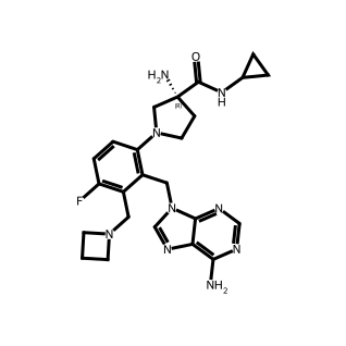 Nc1ncnc2c1ncn2Cc1c(N2CC[C@](N)(C(=O)NC3CC3)C2)ccc(F)c1CN1CCC1